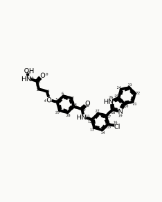 O=C(CCOc1ccc(C(=O)Nc2ccc(Cl)c(-c3nc4ccccc4[nH]3)c2)cc1)NO